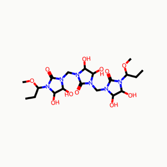 CCC(OC)N1C(=O)N(CN2C(=O)N(CN3C(=O)N(C(CC)OC)C(O)C3O)C(O)C2O)C(O)C1O